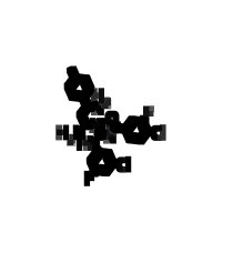 Cc1ccc(C(N)CC(N)N/C(=N\C(=O)c2ccc(Cl)c(F)c2)Nc2cc(F)cc(Cl)c2)cc1